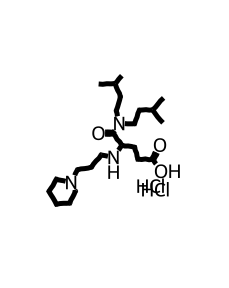 CC(C)CCN(CCC(C)C)C(=O)C(CCC(=O)O)NCCCN1CCCCC1.Cl.Cl